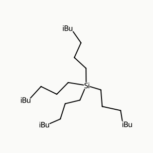 CCC(C)CCC[Si](CCCC(C)CC)(CCCC(C)CC)CCCC(C)CC